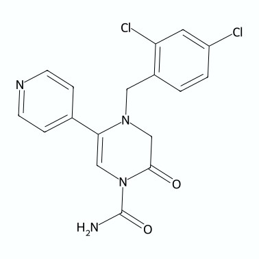 NC(=O)N1C=C(c2ccncc2)N(Cc2ccc(Cl)cc2Cl)CC1=O